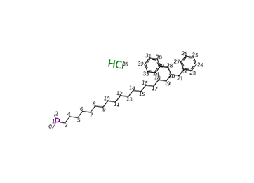 CP(C)CCCCCCCCCCCCCCCCCC(Cc1ccccc1)Cc1ccccc1.Cl